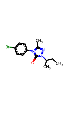 CCC(C)n1nc(C)n(-c2ccc(Br)cc2)c1=O